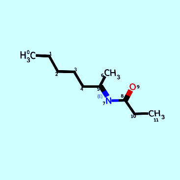 CCCCC/C(C)=N/C(=O)CC